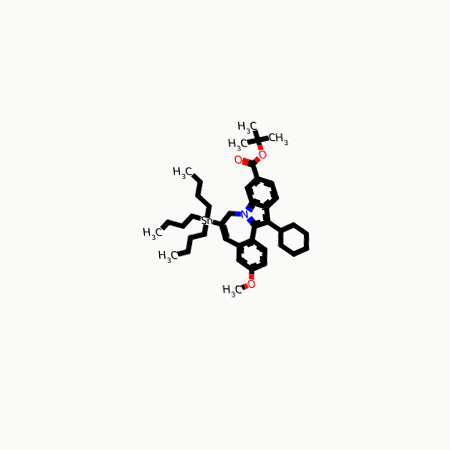 CCC[CH2][Sn]([CH2]CCC)([CH2]CCC)[C]1=Cc2cc(OC)ccc2-c2c(C3CCCCC3)c3ccc(C(=O)OC(C)(C)C)cc3n2C1